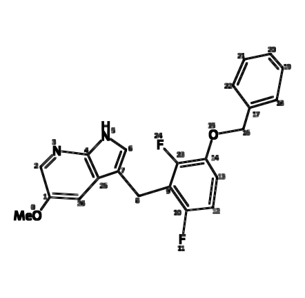 COc1cnc2[nH]cc(Cc3c(F)ccc(OCc4ccccc4)c3F)c2c1